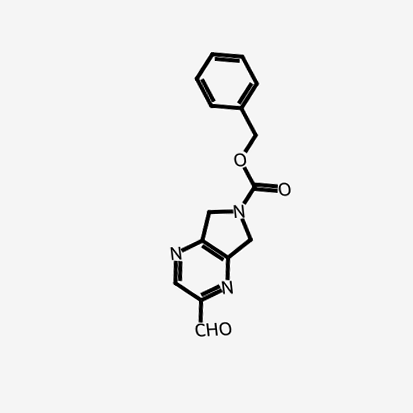 O=Cc1cnc2c(n1)CN(C(=O)OCc1ccccc1)C2